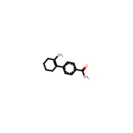 CC(=O)c1ccc(C2=C(C)CCCC2)cc1